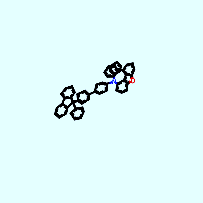 c1ccc(-c2cccc3oc4cccc(N(c5ccccc5)c5ccc(-c6ccc(C7(c8ccccc8)c8ccccc8-c8ccccc87)cc6)cc5)c4c23)cc1